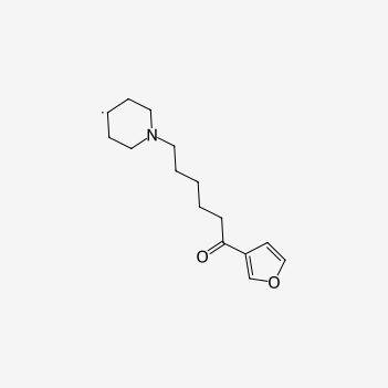 O=C(CCCCCN1CC[CH]CC1)c1ccoc1